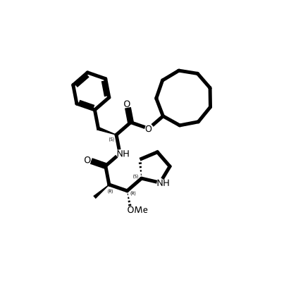 CO[C@@H]([C@@H]1CCCN1)[C@@H](C)C(=O)N[C@@H](Cc1ccccc1)C(=O)OC1CCCCCCCC1